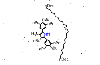 CCCCC1=C(c2cc(CCC)c(CCCC)c(CCC)c2)[N+](=[N-])C(c2cc(CCC)c(CCCC)c(CCC)c2)=C1C.CCCCCCCCCCCCCCCCCCC[CH2][Ni][CH2]CCCCCCCCCCCCCCCCCCC